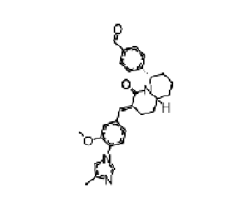 COc1cc(/C=C2\CC[C@H]3CCC[C@@H](c4ccc(C=O)cc4)N3C2=O)ccc1-n1cnc(C)c1